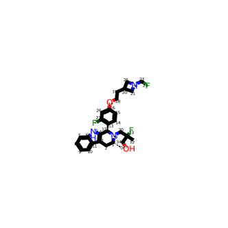 C[C@@H]1Cc2c([nH]c3ccccc23)[C@@H](c2ccc(OCCC3CN(CF)C3)cc2F)N1CC(C)(F)CO